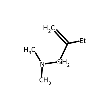 C=C(CC)[SiH2]N(C)C